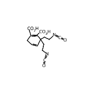 O=C=NCCC1(CCN=C=O)C=CCC(C(=O)O)=C1C(=O)O